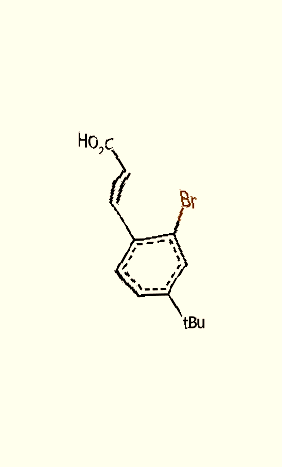 CC(C)(C)c1ccc(/C=C/C(=O)O)c(Br)c1